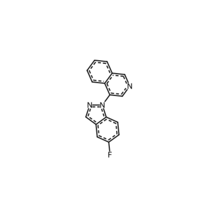 Fc1ccc2c(cnn2-c2cncc3ccccc23)c1